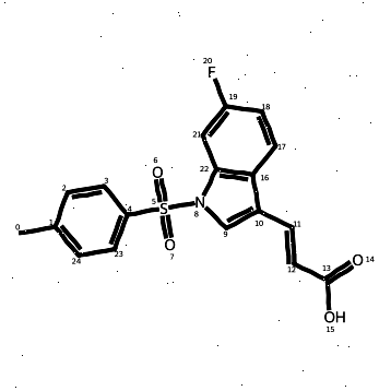 Cc1ccc(S(=O)(=O)n2cc(/C=C/C(=O)O)c3ccc(F)cc32)cc1